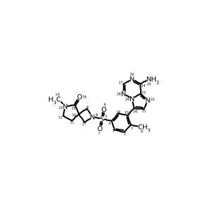 Cc1ccc(S(=O)(=O)N2CC3(CCN(C)C3=O)C2)cc1-c1cnc2c(N)ncnn12